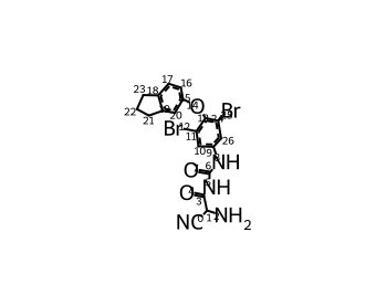 N#CC(N)C(=O)NC(=O)Nc1cc(Br)c(Oc2ccc3c(c2)CCC3)c(Br)c1